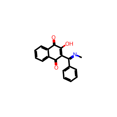 CN=C(C1=C(O)C(=O)c2ccccc2C1=O)c1ccccc1